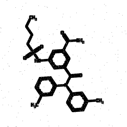 CCCCS(=O)(=O)Nc1cc(C(N)=O)cc(C(=O)N(c2cccc(C)c2)c2cccc(C)c2)c1